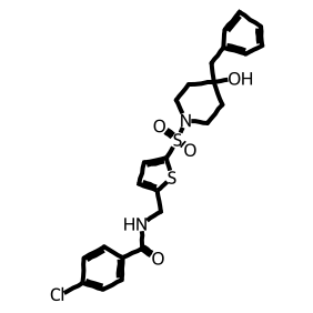 O=C(NCc1ccc(S(=O)(=O)N2CCC(O)(Cc3ccccc3)CC2)s1)c1ccc(Cl)cc1